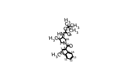 CC1CN(C(=O)c2cn(C)c3ccccc23)CC1NC(=O)OC(C)(C)C